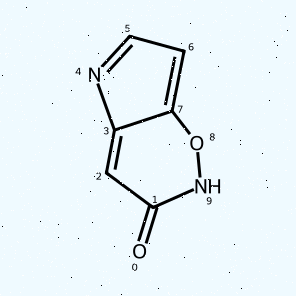 O=c1cc2nccc-2o[nH]1